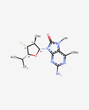 CCCn1c(=O)n([C@@H]2O[C@H](C(OC(C)=O)C(F)(F)F)[C@H](F)[C@H]2OC(C)=O)c2nc(N)nc(OC)c21